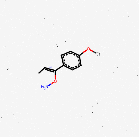 C/C=C(\ON)c1ccc(OCC)cc1